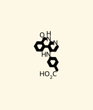 O=C(O)Cc1ccc(Nc2ccnc3[nH]c(=O)c4ccccc4c23)cc1